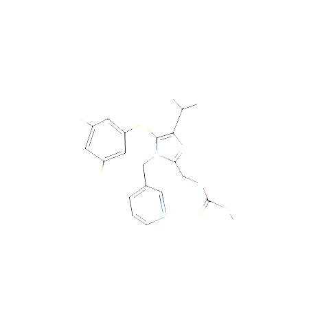 CNC(=S)OCc1nc(C(C)C)c(Sc2cc(F)cc(F)c2)n1Cc1cccnc1